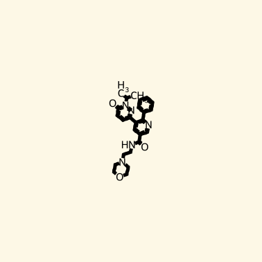 CC(C)n1nc(-c2cc(C(=O)NCCN3CCOCC3)cnc2-c2ccccc2)ccc1=O